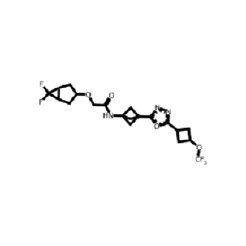 O=C(COC1CC2C(C1)C2(F)F)NC12CC(c3nnc(C4CC(OC(F)(F)F)C4)o3)(C1)C2